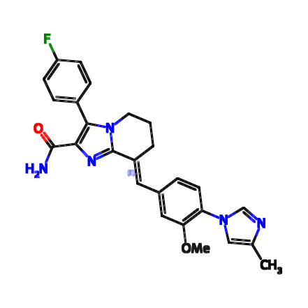 COc1cc(/C=C2\CCCn3c2nc(C(N)=O)c3-c2ccc(F)cc2)ccc1-n1cnc(C)c1